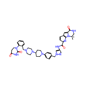 C[C@@H]1CNC(=O)c2cc3ccc(C(=O)Nc4cnn(Cc5ccc(N6CCC(N7CCN(Cc8ccccc8N8CCC(=O)NC8=O)CC7)CC6)cc5)c4)nc3n21